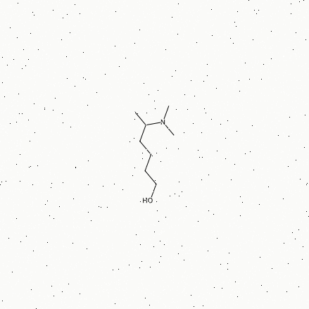 CC(CCCCO)N(C)C